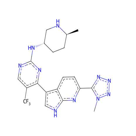 C[C@H]1CC[C@H](Nc2ncc(C(F)(F)F)c(-c3c[nH]c4nc(-c5nnnn5C)ccc34)n2)CN1